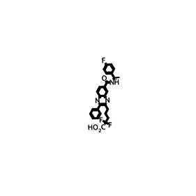 C[C@@H](NC(=O)c1ccc2nc(-c3ccccc3)c(CCCC(F)(F)C(=O)O)nc2c1)c1ccc(F)cc1